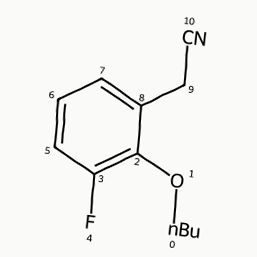 CCCCOc1c(F)cccc1CC#N